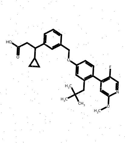 COc1cc(-c2ccc(OCc3cccc(C(CC(=O)O)C4CC4)c3)cc2CC(C)(C)C)c(F)cn1